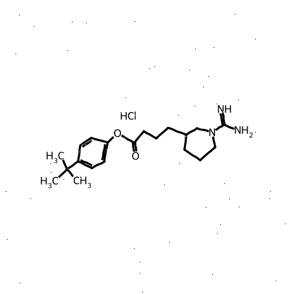 CC(C)(C)c1ccc(OC(=O)CCCC2CCCN(C(=N)N)C2)cc1.Cl